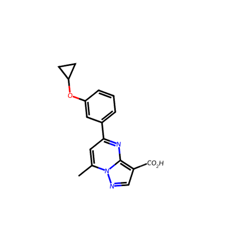 Cc1cc(-c2cccc(OC3CC3)c2)nc2c(C(=O)O)cnn12